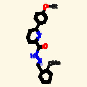 CCOc1ccc(-c2cccc(C(=O)N/N=C/c3ccccc3OC)n2)cc1